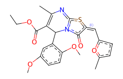 CCOC(=O)C1=C(C)N=c2s/c(=C/c3ccc(C)o3)c(=O)n2C1c1cc(OC)ccc1OC